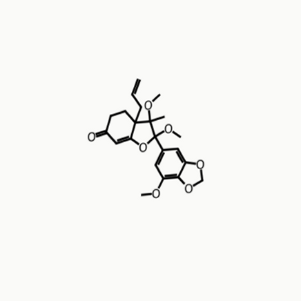 C=CCC12CCC(=O)C=C1OC(OC)(c1cc(OC)c3c(c1)OCO3)C2(C)OC